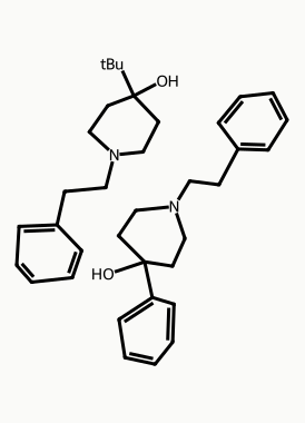 CC(C)(C)C1(O)CCN(CCc2ccccc2)CC1.OC1(c2ccccc2)CCN(CCc2ccccc2)CC1